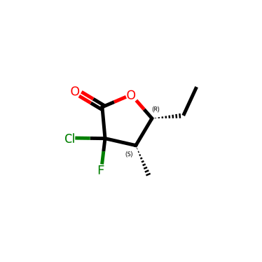 CC[C@H]1OC(=O)C(F)(Cl)[C@H]1C